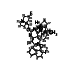 Cc1c(F)ccc2cccc(-c3nc4c5c(nc(OC[C@@]67CCCN6C[C@H](F)C7)nc5c3F)N3C[C@H]5CC[C@H](N5)[C@@H]3[C@H](C)CC4)c12